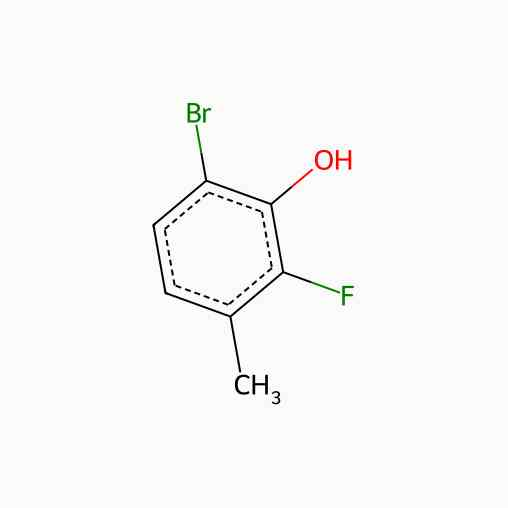 Cc1ccc(Br)c(O)c1F